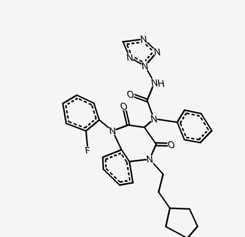 O=C1C(N(C(=O)Nn2ncnn2)c2ccccc2)C(=O)N(c2ccccc2F)c2ccccc2N1CCC1CCCC1